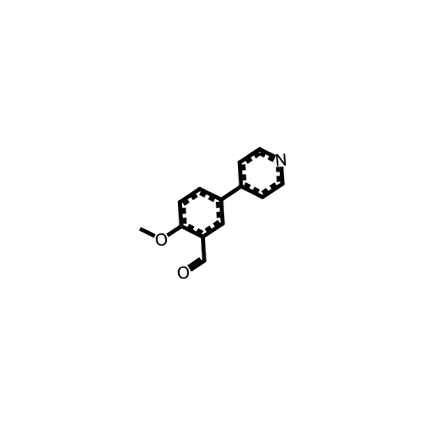 COc1ccc(-c2ccncc2)cc1C=O